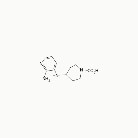 Nc1ncccc1NC1CCN(C(=O)O)CC1